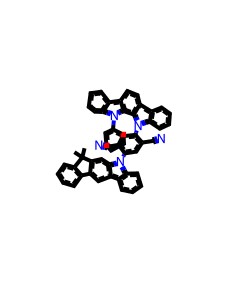 CC1(C)c2ccccc2-c2cc3c4ccccc4n(-c4cc(C#N)c(-n5c6ccccc6c6ccc7c8ccccc8n(-c8ccccc8)c7c65)cc4C#N)c3cc21